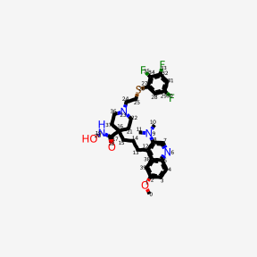 COc1ccc2ncc(N(C)C)c(CCCC3(C(=O)NO)CCN(CCSc4cc(F)cc(F)c4F)CC3)c2c1